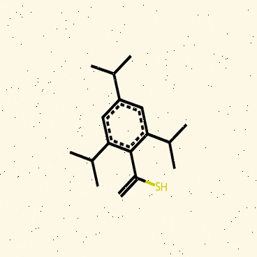 C=C(S)c1c(C(C)C)cc(C(C)C)cc1C(C)C